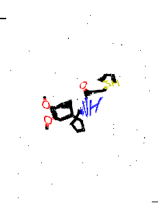 COc1ccc(C2(CNC(=O)C[SH]3C=CC=C3)CCCC2)cc1OC